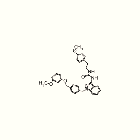 COc1ccc(CCNC(=O)Nc2nn(Cc3ccc(COc4cccc(OC)c4)cc3)c3ccccc23)cc1